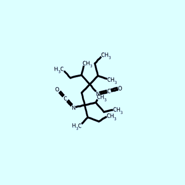 CCC(C)C(CC(N=C=O)(C(C)CC)C(C)CC)(N=C=O)C(C)CC